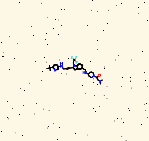 CN(C)CC(=O)N1CCC(NCc2ccc3c(c2)cc(C#CCNc2ccc(C(C)(C)C)nc2)n3CC(F)(F)F)CC1